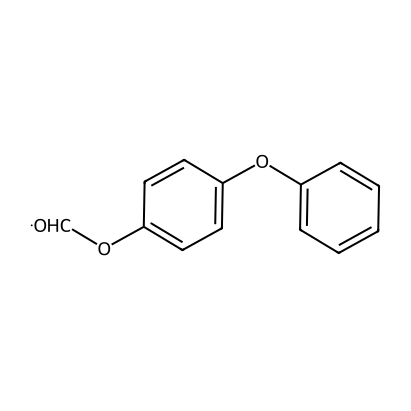 O=[C]Oc1ccc(Oc2ccccc2)cc1